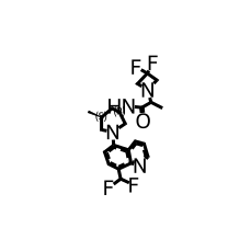 CC(C(=O)N[C@@H]1C[C@H](C)CN(c2ccc(C(F)F)c3ncccc23)C1)N1CC(F)(F)C1